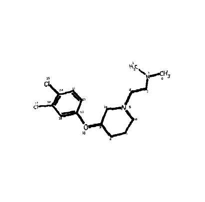 CN(C)CCN1CCCC(Oc2ccc(Cl)c(Cl)c2)C1